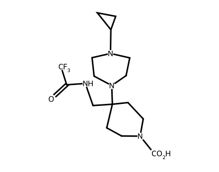 O=C(O)N1CCC(CNC(=O)C(F)(F)F)(N2CCN(C3CC3)CC2)CC1